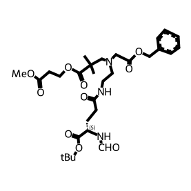 COC(=O)CCOC(=O)C(C)(C)CN(CCNC(=O)CC[C@H](NC=O)C(=O)OC(C)(C)C)CC(=O)OCc1ccccc1